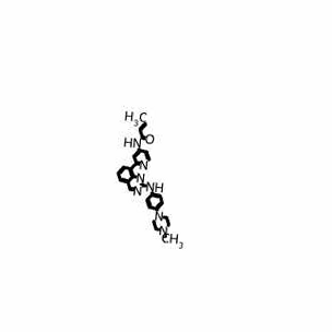 C/C=C/C(=O)Nc1ccnc(-c2cccc3cnc(Nc4ccc(N5CCN(C)CC5)cc4)nc23)c1